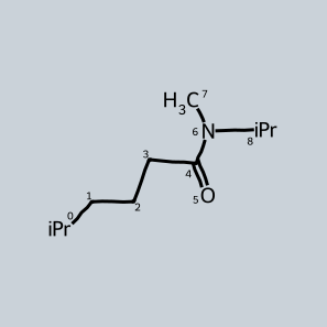 CC(C)CCCC(=O)N(C)C(C)C